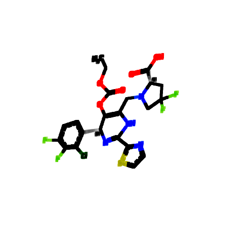 CCOC(=O)OC1=C(CN2CC(F)(F)C[C@H]2C(=O)O)NC(c2nccs2)=N[C@@H]1c1ccc(F)c(F)c1Cl